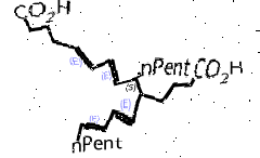 CCCCC/C=C/C=C/C(CCCC(=O)O)[C@@H](/C=C/C=C/CCCC(=O)O)CCCCC